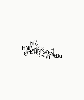 CC(C)(C)NC(=O)OC1CCCN(c2ccnc3[nH]c(=O)[nH]c23)C1